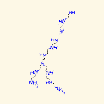 CNCCNCCNCCNCCNCCNCCN(CCNCCN)CCNCCNCCN